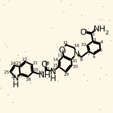 NC(=O)c1cccc(CN2CCOc3cc(NC(=O)Nc4ccc5cc[nH]c5c4)ccc32)c1